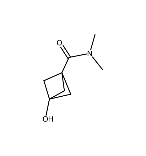 CN(C)C(=O)C12CC(O)(C1)C2